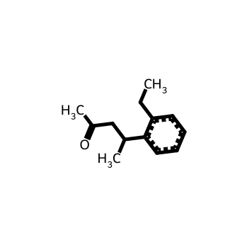 CCc1ccccc1C(C)CC(C)=O